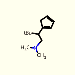 CN(C)CC(C1=CC=CC1)C(C)(C)C